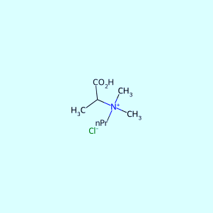 CCC[N+](C)(C)C(C)C(=O)O.[Cl-]